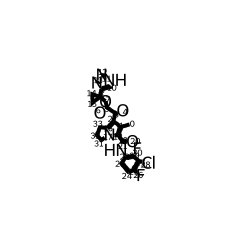 Cc1c(C(=O)C(=O)OC2(c3c[nH]nn3)CC2)c2n(c1C(=O)Nc1ccc(F)c(Cl)c1F)CCC2